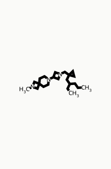 CCCC(CC)CC1(CN2CC(N3CCC4(CC3)CN(C)C4)C2)CC1